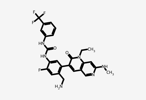 CCn1c(=O)c(-c2cc(NC(=O)Nc3cccc(C(F)(F)F)c3)c(F)cc2CN)cc2cnc(NC)cc21